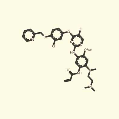 C=CC(=O)Nc1cc(Nc2ncc(Cl)c(Oc3ccc(OCc4ccccn4)c(Cl)c3)n2)c(OC)cc1N(C)CCN(C)C